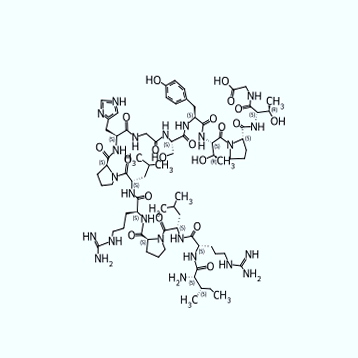 CC[C@H](C)[C@H](N)C(=O)N[C@@H](CCCNC(=N)N)C(=O)N[C@@H](CC(C)C)C(=O)N1CCC[C@H]1C(=O)N[C@@H](CCCNC(=N)N)C(=O)N[C@@H](CC(C)C)C(=O)N1CCC[C@H]1C(=O)N[C@@H](Cc1c[nH]cn1)C(=O)NCC(=O)N[C@@H](CO)C(=O)N[C@@H](Cc1ccc(O)cc1)C(=O)N[C@H](C(=O)N1CCC[C@H]1C(=O)N[C@H](C(=O)NCC(=O)O)[C@@H](C)O)[C@@H](C)O